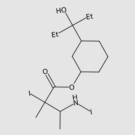 CCC(O)(CC)C1CCCC(OC(=O)C(C)(I)C(C)NI)C1